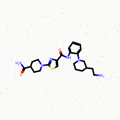 NCCC1CCCN(c2ccccc2NC(=O)c2csc(N3CCC(C(N)=O)CC3)n2)C1